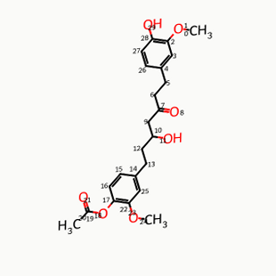 COc1cc(CCC(=O)CC(O)CCc2ccc(OC(C)=O)c(OC)c2)ccc1O